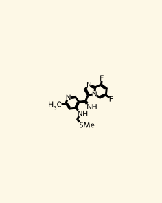 CSCNc1cc(C)ncc1C(=N)c1cnc2c(F)cc(F)cn12